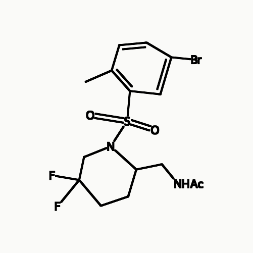 CC(=O)NCC1CCC(F)(F)CN1S(=O)(=O)c1cc(Br)ccc1C